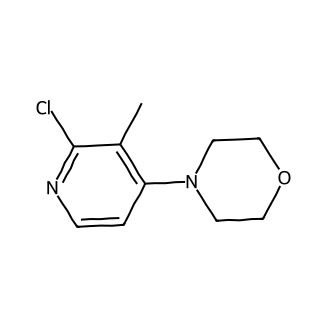 Cc1c(N2CCOCC2)ccnc1Cl